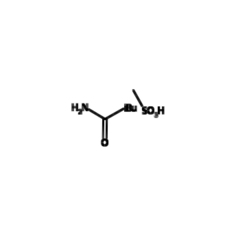 CCC(C)C(N)=O.CS(=O)(=O)O